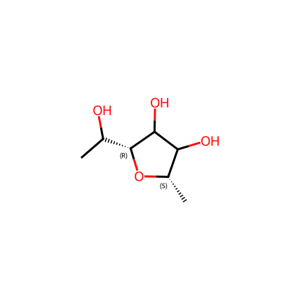 CC(O)[C@H]1O[C@@H](C)C(O)C1O